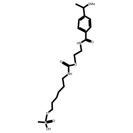 CSC(C)c1ccc(C(=O)NCCOC(=O)NCCCCCCOP(C)(=O)O)cc1